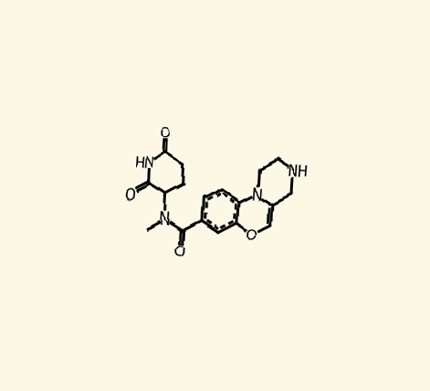 CN(C(=O)c1ccc2c(c1)OC=C1CNCCN12)C1CCC(=O)NC1=O